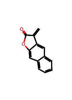 C=C1C(=O)Oc2cc3ccccc3cc21